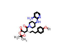 CCOc1ccc(CCC[C@@H](C(=O)N2CCC(Nc3ncccc3N)CC2)[C@@H]2OC(C)(C)OC2=O)cc1